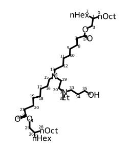 CCCCCCCCC(CCCCCC)COC(=O)CCCCCCCN(CCCCCCCC(=O)OCC(CCCCCC)CCCCCCCC)CCN(CC)CCCO